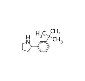 CC(C)(C)c1cccc(C2CCCN2)c1